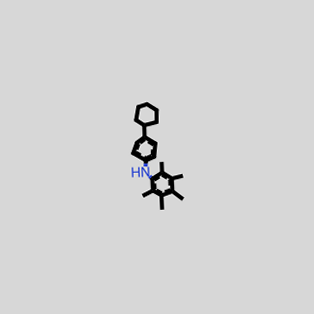 Cc1c(C)c(C)c(Nc2ccc(C3CCCCC3)cc2)c(C)c1C